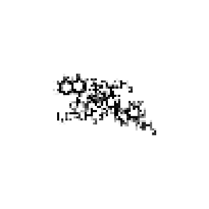 CC(C)ON(c1cccc2ccccc12)[C@@H](C)C(=O)OP(=O)(O)O[C@@H](C)[C@H]1O[C@@H](n2cnc3c(N)ncnc32)[C@H](O)[C@@H]1O